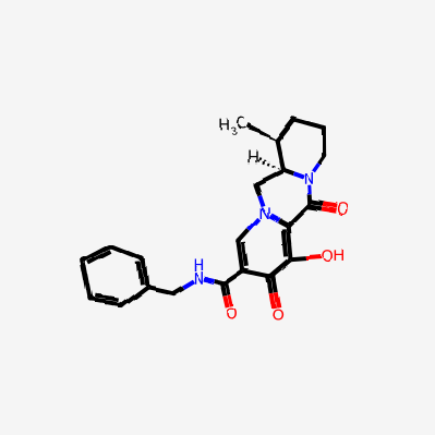 C[C@H]1CCCN2C(=O)c3c(O)c(=O)c(C(=O)NCc4ccccc4)cn3C[C@@H]12